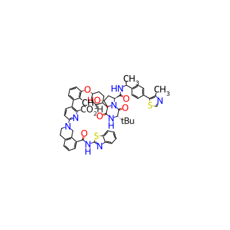 Cc1ncsc1-c1ccc([C@H](C)NC(=O)[C@@H]2C[C@@H](O)CN2C(=O)[C@@H](NC(=O)CC2CCC(Oc3cccc(-c4ccc(N5CCc6cccc(C(=O)Nc7nc8ccccc8s7)c6C5)nc4C(=O)O)c3C)CC2)C(C)(C)C)cc1